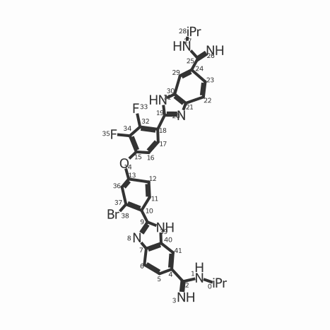 CC(C)NC(=N)c1ccc2nc(-c3ccc(Oc4ccc(-c5nc6ccc(C(=N)NC(C)C)cc6[nH]5)c(F)c4F)cc3Br)[nH]c2c1